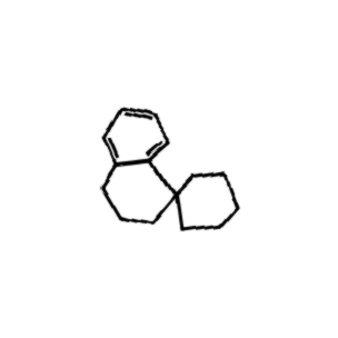 c1ccc2c(c1)CCCC21CCCCC1